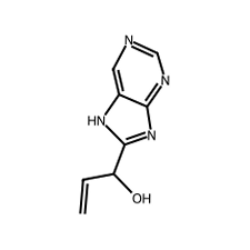 C=CC(O)c1nc2ncncc2[nH]1